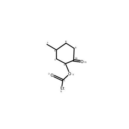 CCC(=O)OC1CC(C)CCC1=O